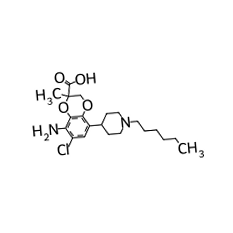 CCCCCCN1CCC(c2cc(Cl)c(N)c3c2OCC(C)(C(=O)O)O3)CC1